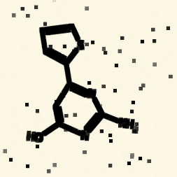 Nc1nc(O)cc(-c2cccs2)n1